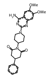 COc1cc2nc(N3CCC(N4C(=O)CC(c5ccccc5)CC4=O)CC3)nc(N)c2cc1OC